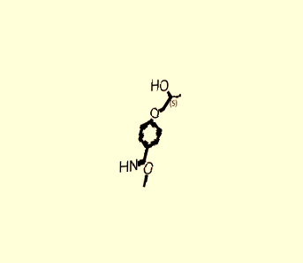 COC(=N)c1ccc(OC[C@H](C)O)cc1